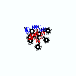 [N-]=[N+]=NC1CC(N=[N+]=[N-])[C@@H](O[C@H]2OC(C(O)COCc3ccccc3)[C@@H](OCc3ccccc3)C(OCc3ccccc3)C2N=[N+]=[N-])C(OCc2ccccc2)C1OCc1ccccc1